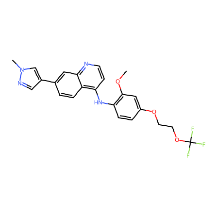 COc1cc(OCCOC(F)(F)F)ccc1Nc1ccnc2cc(-c3cnn(C)c3)ccc12